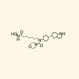 O=C(CCCCCCN(C(=O)N1CCOCC1)c1ccc(-c2ccc3[nH]ccc3c2)cc1)NO